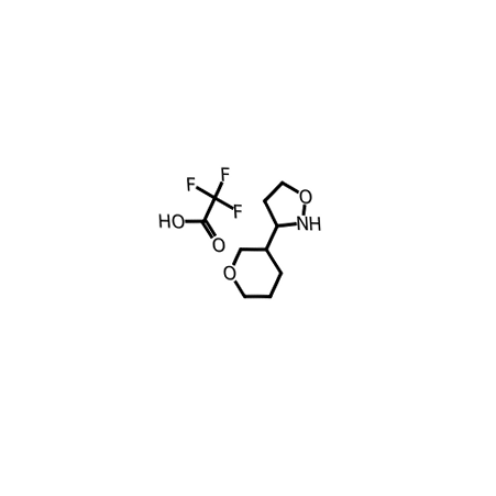 C1COCC(C2CCON2)C1.O=C(O)C(F)(F)F